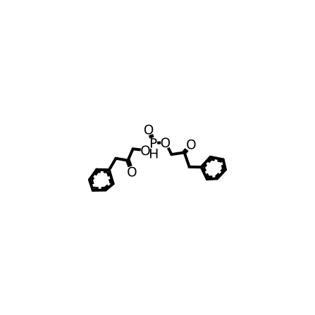 O=C(CO[PH](=O)OCC(=O)Cc1ccccc1)Cc1ccccc1